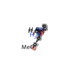 COC(=O)c1ccc(C#Cc2ccc(CC(N)C(=O)N3C[Si](C)(C)C[C@H]3C(=O)NC3CCCc4ccccc43)cc2)cc1